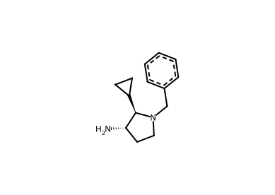 N[C@H]1CCN(Cc2ccccc2)[C@@H]1C1CC1